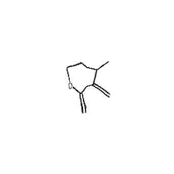 C=C1OCCC(C)C1=C